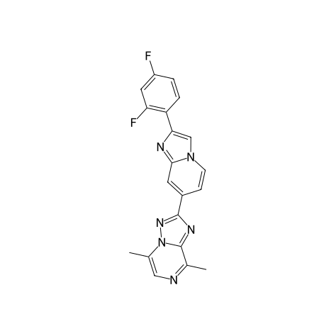 Cc1ncc(C)n2nc(-c3ccn4cc(-c5ccc(F)cc5F)nc4c3)nc12